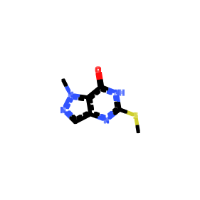 CSc1nc2cnn(C)c2c(=O)[nH]1